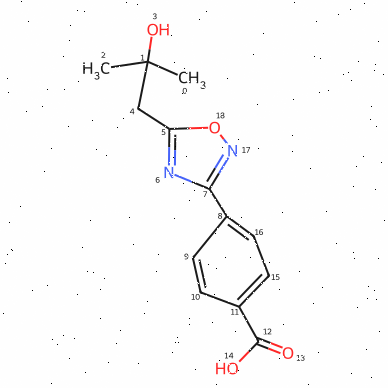 CC(C)(O)Cc1nc(-c2ccc(C(=O)O)cc2)no1